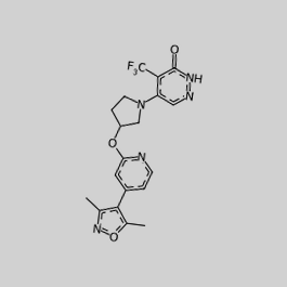 Cc1noc(C)c1-c1ccnc(OC2CCN(c3cn[nH]c(=O)c3C(F)(F)F)C2)c1